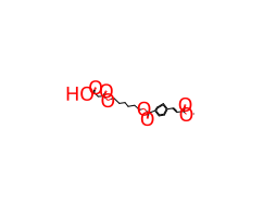 COC(=O)/C=C/c1ccc(C(=O)OCCCCCCOC(=O)CC(=O)O)cc1